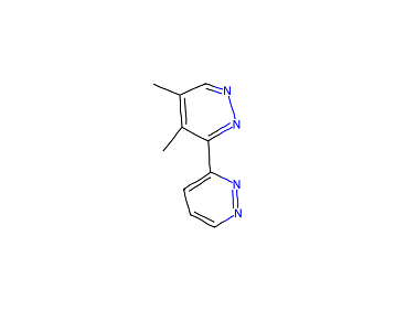 Cc1cnnc(-c2cccnn2)c1C